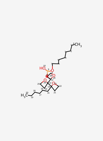 CCCCCCCCOP(O)OC1(C2(C3(CCCCCC)CCO3)CCO2)CCO1